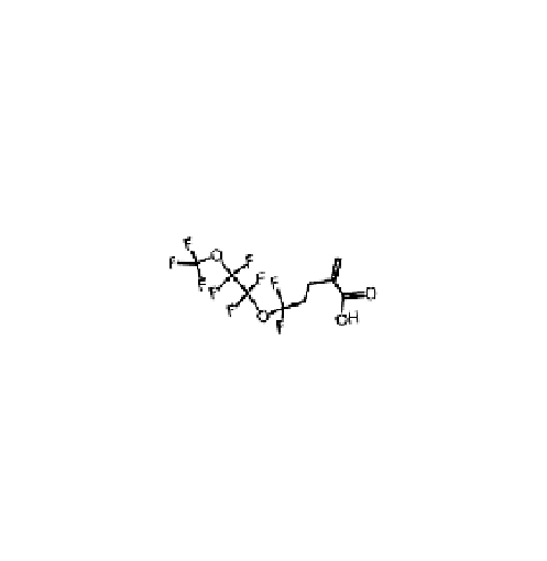 C=C(CCC(F)(F)OC(F)(F)C(F)(F)OC(F)(F)F)C(=O)O